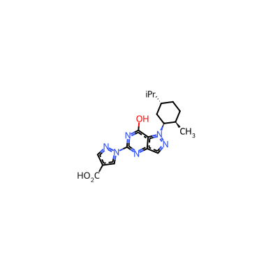 CC(C)[C@@H]1CC[C@@H](C)[C@@H](n2ncc3nc(-n4cc(C(=O)O)cn4)nc(O)c32)C1